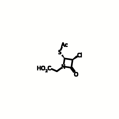 CC(=O)S[C@@H]1[C@@H](Cl)C(=O)N1CC(=O)O